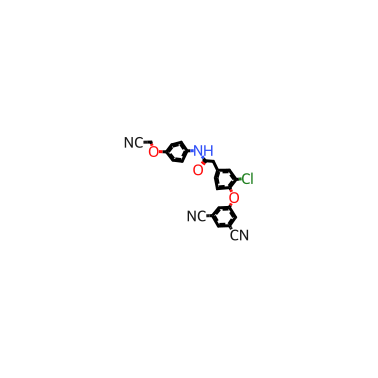 N#CCOc1ccc(NC(=O)Cc2ccc(Oc3cc(C#N)cc(C#N)c3)c(Cl)c2)cc1